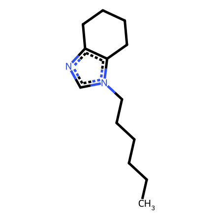 CCCCCCn1cnc2c1CCCC2